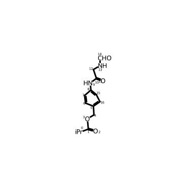 CC(C)C(=O)OCc1ccc(NC(=O)CNC=O)cc1